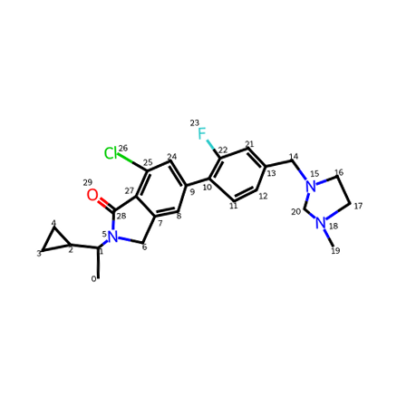 CC(C1CC1)N1Cc2cc(-c3ccc(CN4CCN(C)C4)cc3F)cc(Cl)c2C1=O